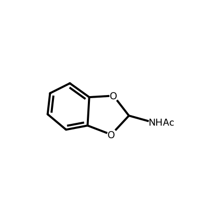 CC(=O)NC1Oc2ccccc2O1